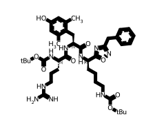 Cc1cc(O)cc(C)c1C[C@H](NC(=O)[C@H](CCCNC(=N)N)NC(=O)OC(C)(C)C)C(=O)N[C@H](CCCCNC(=O)OC(C)(C)C)c1nc(Cc2ccccc2)no1